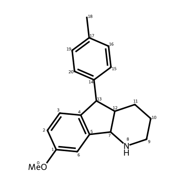 COc1ccc2c(c1)C1NCCCC1C2c1ccc(C)cc1